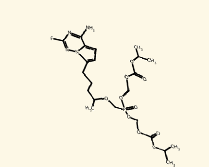 CC(C)OC(=O)OCOP(=O)(COC(C)CCCc1ccc2c(N)nc(F)nn12)OCOC(=O)OC(C)C